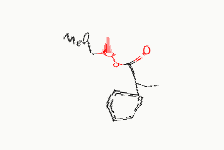 COCOOC(=O)C(C)c1ccccc1